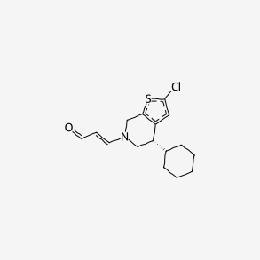 O=CC=CN1Cc2sc(Cl)cc2[C@H](C2CCCCC2)C1